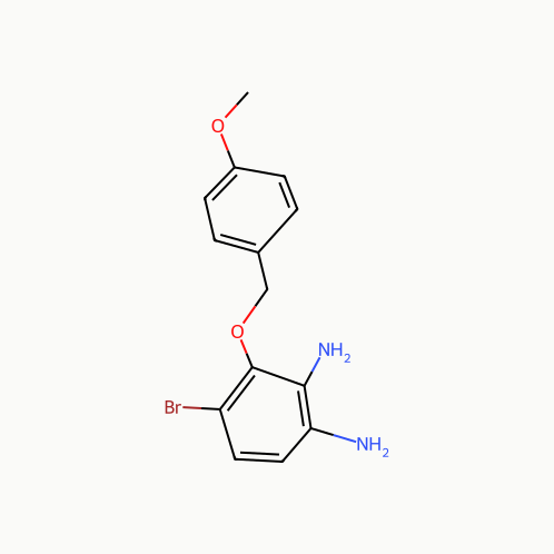 COc1ccc(COc2c(Br)ccc(N)c2N)cc1